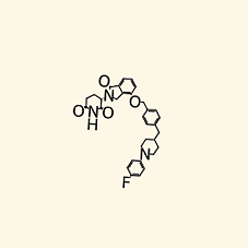 O=C1CC[C@H](N2Cc3c(OCc4ccc(CC5CCN(c6ccc(F)cc6)CC5)cc4)cccc3C2=O)C(=O)N1